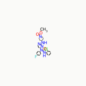 CCOC(=O)N1CCC(Nc2nccc(N(C(=O)Nc3ccccc3Cl)c3ccc(F)cc3)n2)CC1